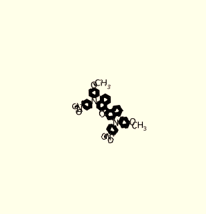 COc1ccc(N(c2ccc([N+](=O)[O-])cc2)c2cc3oc4cc(N(c5ccc(OC)cc5)c5ccc([N+](=O)[O-])cc5)c5ccccc5c4c3c3ccccc23)cc1